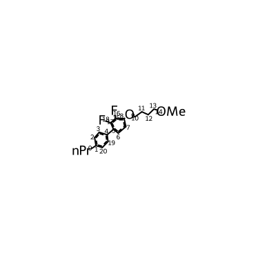 CCCc1ccc(-c2ccc(OCCCCOC)c(F)c2F)cc1